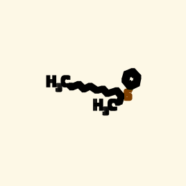 CCCCCCCCCC(CC)Sc1ccccc1